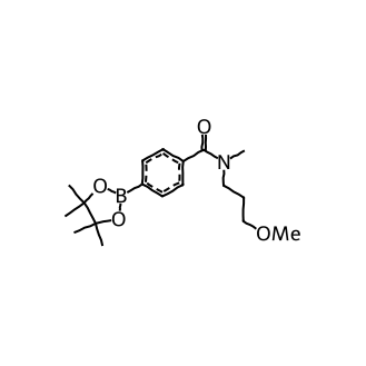 COCCCN(C)C(=O)c1ccc(B2OC(C)(C)C(C)(C)O2)cc1